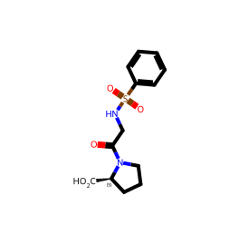 O=C(O)[C@@H]1CCCN1C(=O)CNS(=O)(=O)c1ccccc1